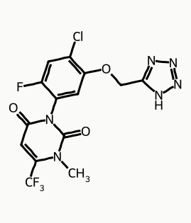 Cn1c(C(F)(F)F)cc(=O)n(-c2cc(OCc3nnn[nH]3)c(Cl)cc2F)c1=O